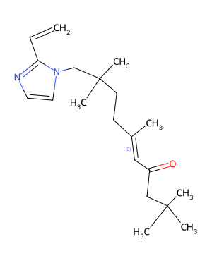 C=Cc1nccn1CC(C)(C)CC/C(C)=C/C(=O)CC(C)(C)C